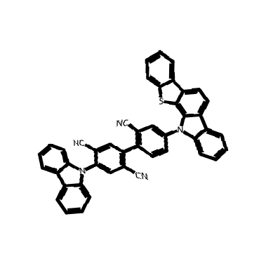 N#Cc1cc(-n2c3ccccc3c3ccc4c5ccccc5sc4c32)ccc1-c1cc(C#N)c(-n2c3ccccc3c3ccccc32)cc1C#N